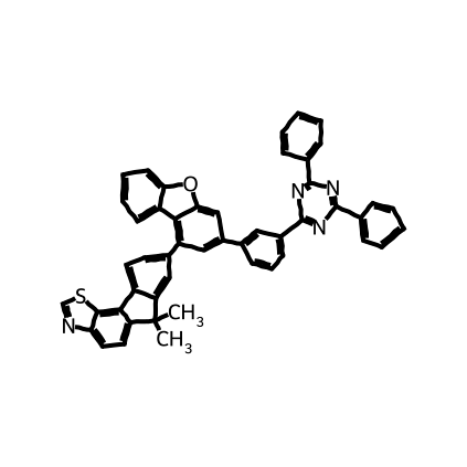 CC1(C)c2cc(-c3cc(-c4cccc(-c5nc(-c6ccccc6)nc(-c6ccccc6)n5)c4)cc4oc5ccccc5c34)ccc2-c2c1ccc1ncsc21